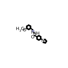 COc1cccc(/C=N/NC(=O)c2ccc(-n3cccc3)cc2)c1